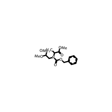 COC(=O)C(C)N(CC(OC)OC)C(=O)OCc1ccccc1